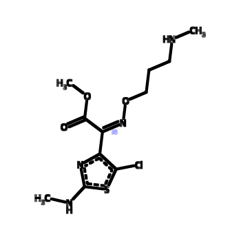 CNCCCO/N=C(\C(=O)OC)c1nc(NC)sc1Cl